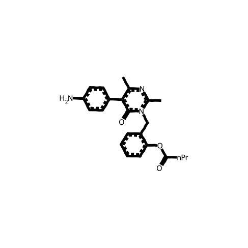 CCCC(=O)Oc1ccccc1Cn1c(C)nc(C)c(-c2ccc(N)cc2)c1=O